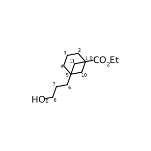 CCOC(=O)C12CCCC(CCCO)(C1)C2